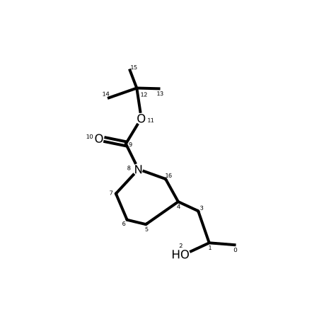 CC(O)CC1CCCN(C(=O)OC(C)(C)C)C1